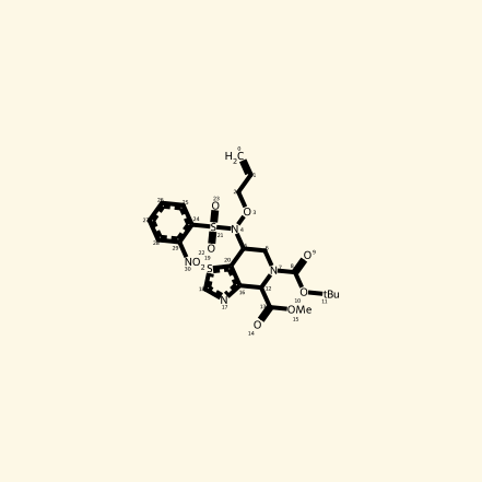 C=CCON(C1CN(C(=O)OC(C)(C)C)C(C(=O)OC)c2ncsc21)S(=O)(=O)c1ccccc1[N+](=O)[O-]